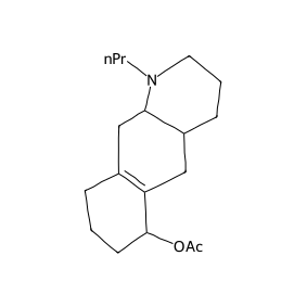 CCCN1CCCC2CC3=C(CCCC3OC(C)=O)CC21